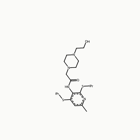 Cc1cc(SC(C)C)c(NC(=O)CN2CCN(CCO)CC2)c(SC(C)C)n1